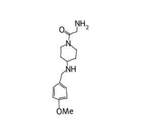 COc1ccc(CNC2CCN(C(=O)CN)CC2)cc1